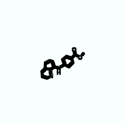 COC(=O)c1ccc(Nc2cccc3cccnc23)cc1